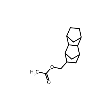 CC(=O)OCC1CC2CC1C1C3CCC(C3)C21